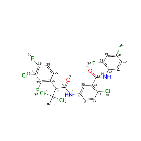 CC(Cl)(Cl)C(C(=O)Nc1ccc(Cl)c(C(=O)Nc2ccc(F)cc2F)c1)c1ccc(F)c(Cl)c1F